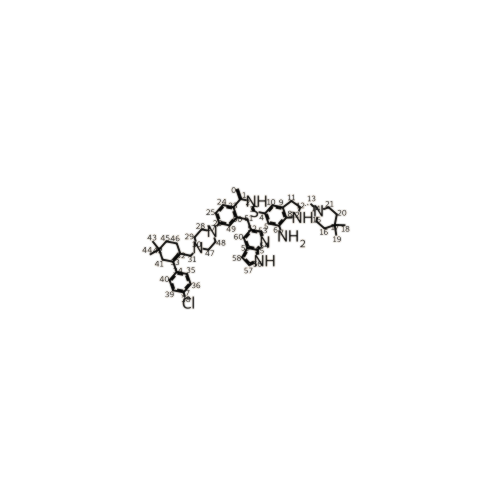 C=C(NSc1cc(N)c2c(c1)C[C@H](CN1CCC(C)(C)CC1)N2)c1ccc(N2CCN(CC3=C(c4ccc(Cl)cc4)CC(C)(C)CC3)CC2)cc1Cc1cnc2[nH]ccc2c1